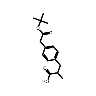 CC(Cc1ccc(CC(=O)OC(C)(C)C)cc1)C(=O)O